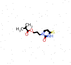 C=C(C)C(=O)OCCCn1ccc(=S)[nH]c1=O